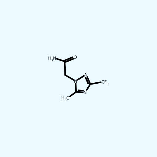 Cc1nc(C(F)(F)F)nn1CC(N)=O